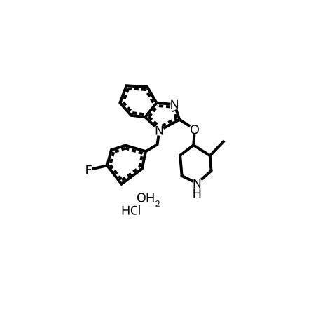 CC1CNCCC1Oc1nc2ccccc2n1Cc1ccc(F)cc1.Cl.O